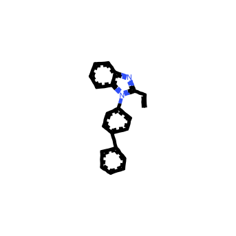 C=Cc1nc2ccccc2n1-c1ccc(-c2ccccc2)cc1